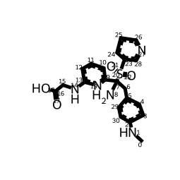 CNc1ccc(CC(N)(c2cccc(NCC(=O)O)n2)S(=O)(=O)c2cccnc2)cc1